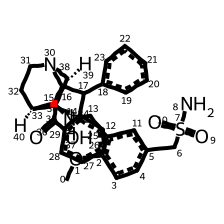 COc1ccc(CS(N)(=O)=O)cc1CNC1[C@H](C(c2ccccc2)c2ccccc2)N2CC[C@H]1[C@@H](C(=O)O)C2